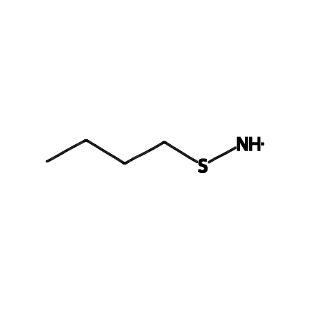 CCCCS[NH]